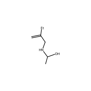 C=C(CC)CNC(C)O